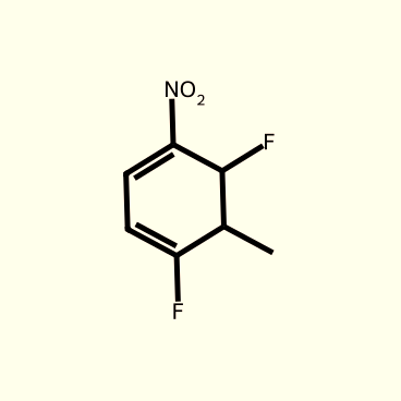 CC1C(F)=CC=C([N+](=O)[O-])C1F